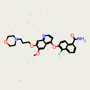 COc1cc2c(Oc3ccc4c(C(N)=O)cccc4c3F)ccnc2cc1OCCCN1CCOCC1